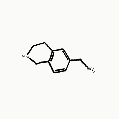 NCc1ccc2c(c1)CCNC2